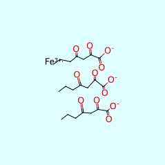 CCCC(=O)CC(=O)C(=O)[O-].CCCC(=O)CC(=O)C(=O)[O-].CCCC(=O)CC(=O)C(=O)[O-].[Fe+3]